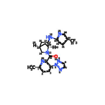 Cc1ccc(-n2nccn2)c(C(=O)N2C[C@H]3C[C@@H](Nc4ccc(C(F)(F)F)cn4)[C@@H]2C3)n1